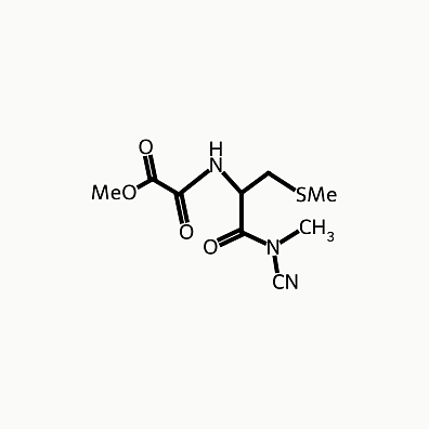 COC(=O)C(=O)NC(CSC)C(=O)N(C)C#N